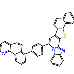 c1ccc2c(c1)ccc1c3cc(-c4ccc(-c5cccc6c5ccc5cccnc56)cc4)n4c5ccccc5nc4c3sc21